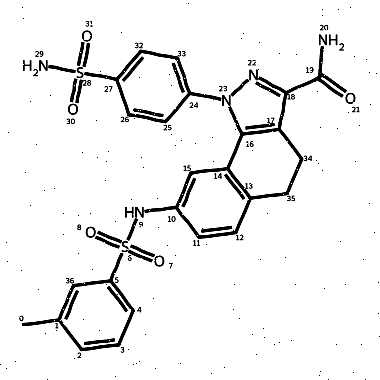 Cc1cccc(S(=O)(=O)Nc2ccc3c(c2)-c2c(c(C(N)=O)nn2-c2ccc(S(N)(=O)=O)cc2)CC3)c1